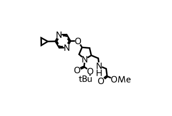 COC(=O)CNCC1CC(Oc2cnc(C3CC3)cn2)CN1C(=O)OC(C)(C)C